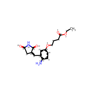 CCOC(=O)CCCOc1ccc(N)c(C=C2CC(=O)NC2=O)c1